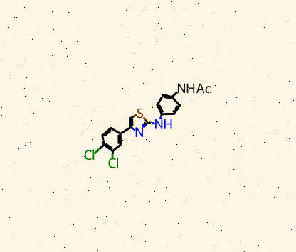 CC(=O)Nc1ccc(Nc2nc(-c3ccc(Cl)c(Cl)c3)cs2)cc1